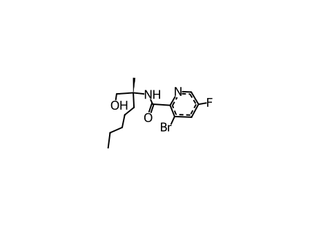 CCCCC[C@](C)(CO)NC(=O)c1ncc(F)cc1Br